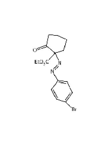 CCOC(=O)C1(N=Nc2ccc(Br)cc2)CCCCC1=O